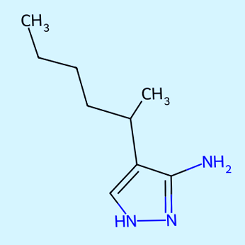 CCCCC(C)c1c[nH]nc1N